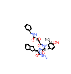 NC(=O)[C@H](NC(=O)[C@@H](Cc1ccc(O)c([N+](=O)[O-])c1)NC(=O)C1O[C@@H]1C(=O)NCc1ccccc1)C1Cc2ccccc2C1